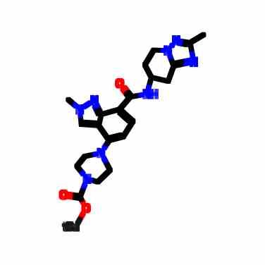 Cc1nc2n(n1)CCC(NC(=O)c1ccc(N3CCN(C(=O)OC(C)(C)C)CC3)c3cn(C)nc13)C2